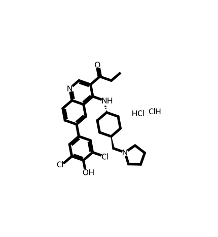 CCC(=O)c1cnc2ccc(-c3cc(Cl)c(O)c(Cl)c3)cc2c1N[C@H]1CC[C@H](CN2CCCC2)CC1.Cl.Cl